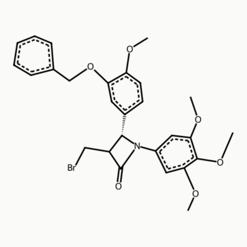 COc1ccc([C@H]2C(CBr)C(=O)N2c2cc(OC)c(OC)c(OC)c2)cc1OCc1ccccc1